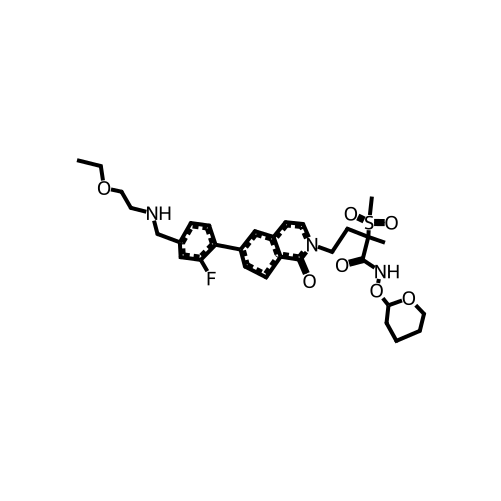 CCOCCNCc1ccc(-c2ccc3c(=O)n(CCC(C)(C(=O)NOC4CCCCO4)S(C)(=O)=O)ccc3c2)c(F)c1